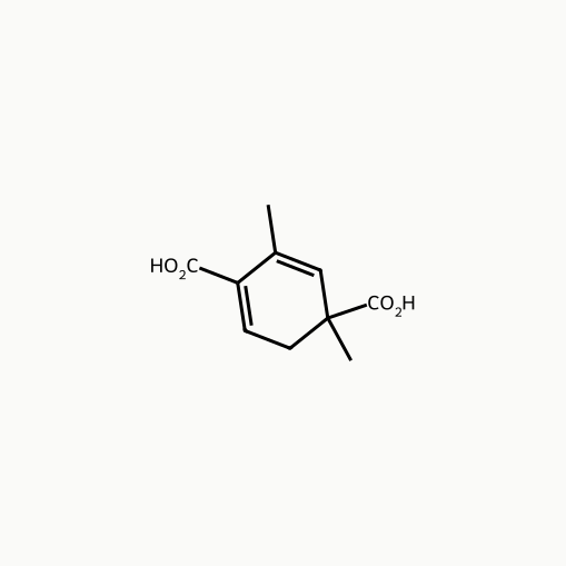 CC1=CC(C)(C(=O)O)CC=C1C(=O)O